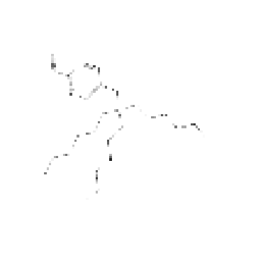 C=Cc1ccc(C[P+](CCCCCC)(CCCCCC)CCCCCC)cc1.[I-]